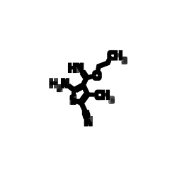 CCCOC(=N)c1c(N)sc(C#N)c1C